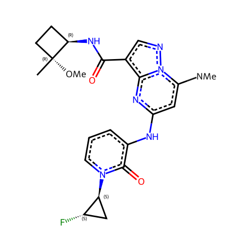 CNc1cc(Nc2cccn([C@H]3C[C@@H]3F)c2=O)nc2c(C(=O)N[C@@H]3CC[C@@]3(C)OC)cnn12